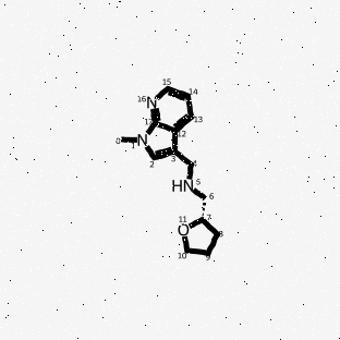 Cn1cc(CNC[C@@H]2CCCO2)c2cccnc21